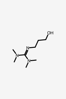 CN(C)C(=NCCCO)N(C)C